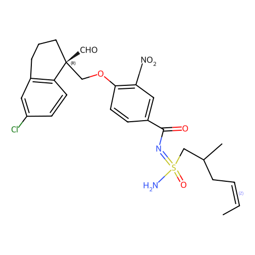 C/C=C\CC(C)CS(N)(=O)=NC(=O)c1ccc(OC[C@@]2(C=O)CCCc3cc(Cl)ccc32)c([N+](=O)[O-])c1